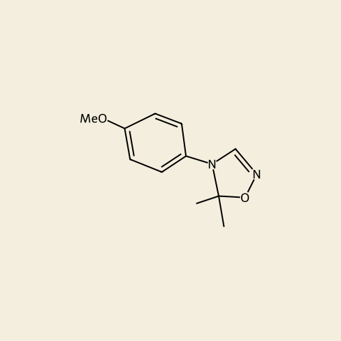 COc1ccc(N2C=NOC2(C)C)cc1